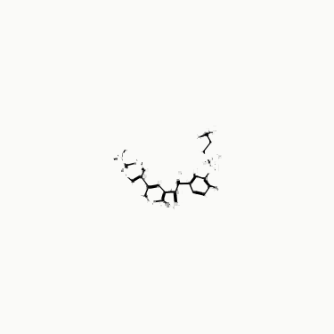 CN(C)c1ncc(-c2cnc3[nH]cc(C(=O)c4ccc(F)c(NS(=O)(=O)CCC(F)(F)F)c4F)c3c2)cn1